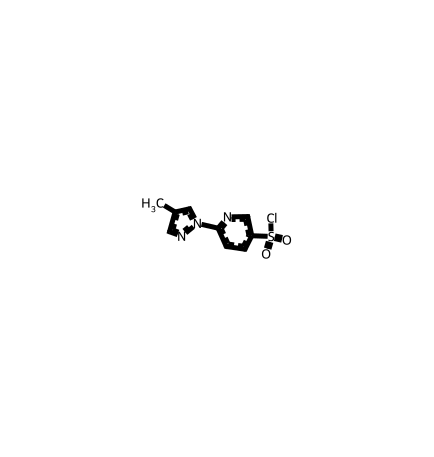 Cc1cnn(-c2ccc(S(=O)(=O)Cl)cn2)c1